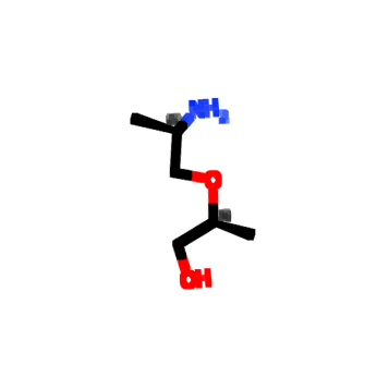 C[C@@H](N)CO[C@@H](C)CO